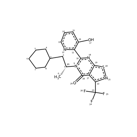 C[C@H](CC1CCCCC1)n1c(-c2ncccc2O)nc2snc(C(F)(F)F)c2c1=O